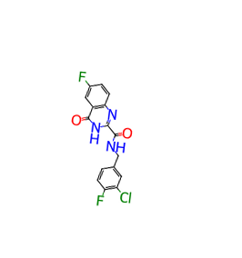 O=C(NCc1ccc(F)c(Cl)c1)c1nc2ccc(F)cc2c(=O)[nH]1